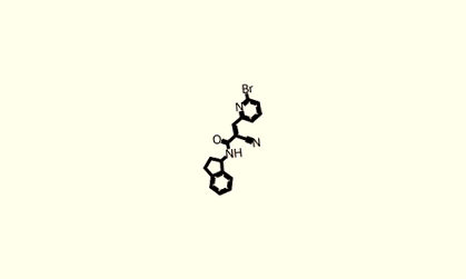 N#C/C(=C\c1cccc(Br)n1)C(=O)NC1CCc2ccccc21